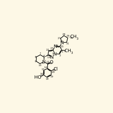 Cc1cn2nc([C@@H]3CCCCN3C(=O)c3cc(O)ccc3Cl)cc2nc1N1CC[C@H](C)C1